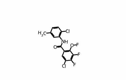 Cc1ccc(Cl)c(NC(=O)c2cc(Cl)c(F)c(F)c2OF)c1